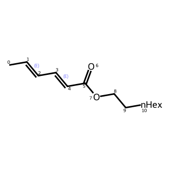 C/C=C/C=C/C(=O)OCCCCCCCC